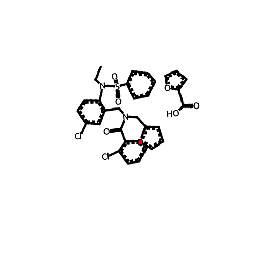 CCN(c1ccc(Cl)cc1CN(Cc1ccco1)C(=O)c1ccccc1Cl)S(=O)(=O)c1ccccc1.O=C(O)c1ccco1